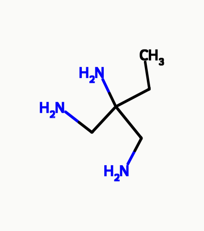 CCC(N)(CN)CN